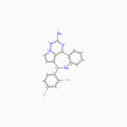 Nc1nc2c3c(ccn3n1)C(c1ccc(F)cc1F)Nc1ccccc1-2